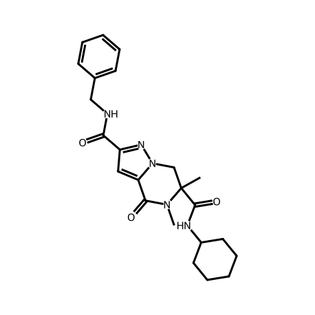 CN1C(=O)c2cc(C(=O)NCc3ccccc3)nn2CC1(C)C(=O)NC1CCCCC1